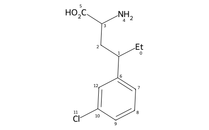 CCC(CC(N)C(=O)O)c1cccc(Cl)c1